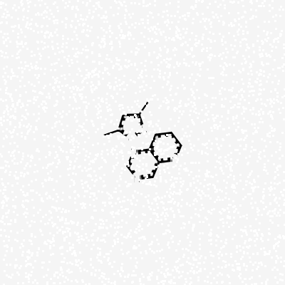 Cc1cc(C)on1.c1cnc2cncnc2c1